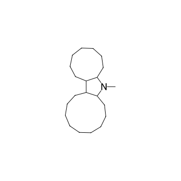 CN1C2CCCCCCCCCC2C2CCCCCCCC21